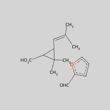 CC(C)=CC1C(C(=O)O)C1(C)C.O=Cc1ccco1